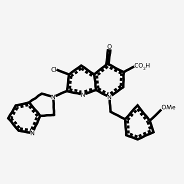 COc1cccc(Cn2cc(C(=O)O)c(=O)c3cc(Cl)c(N4Cc5cccnc5C4)nc32)c1